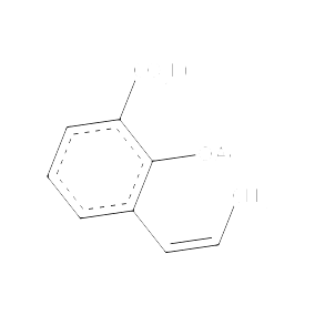 C/C=C\c1cccc(C(=O)OCC)c1OC(C)=O